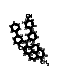 Cc1ccc(-c2ccccc2)cc1N(c1cccc(-c2ccc(C#N)cc2)c1)c1ccc2ccc3c(C)ccc4ccc1c2c43